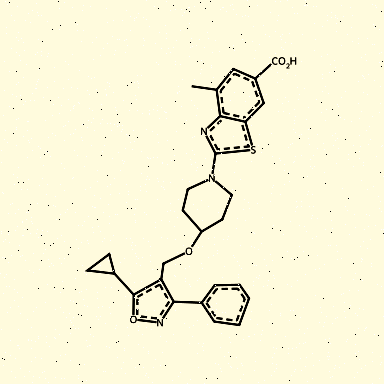 Cc1cc(C(=O)O)cc2sc(N3CCC(OCc4c(-c5ccccc5)noc4C4CC4)CC3)nc12